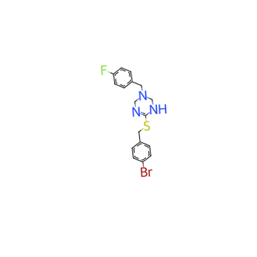 Fc1ccc(CN2CN=C(SCc3ccc(Br)cc3)NC2)cc1